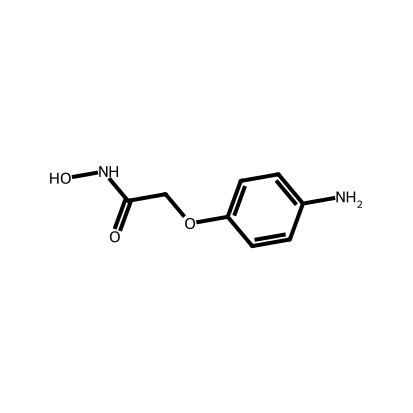 Nc1ccc(OCC(=O)NO)cc1